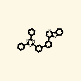 c1ccc(-c2nc(-c3ccccc3)nc(-c3cccc(-c4cccc(-c5ccnc6c5sc5ccccc56)c4)c3)n2)cc1